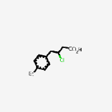 CCc1ccc(CC(Cl)CC(=O)O)cc1